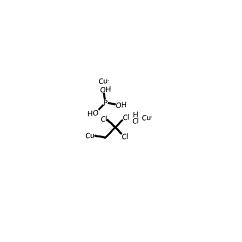 Cl.ClC(Cl)(Cl)[CH2][Cu].OP(O)O.[Cu].[Cu]